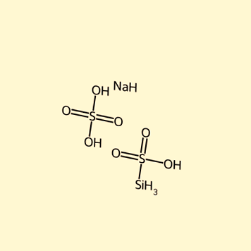 O=S(=O)(O)O.O=S(=O)(O)[SiH3].[NaH]